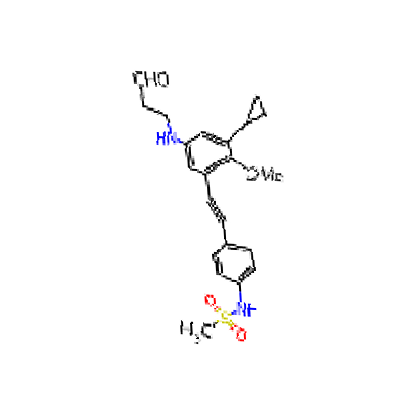 COc1c(C#Cc2ccc(NS(C)(=O)=O)cc2)cc(NCCC=O)cc1C1CC1